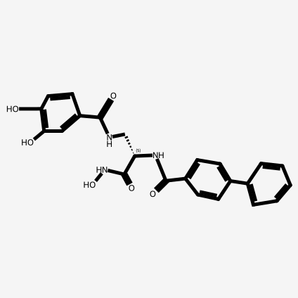 O=C(NC[C@H](NC(=O)c1ccc(-c2ccccc2)cc1)C(=O)NO)c1ccc(O)c(O)c1